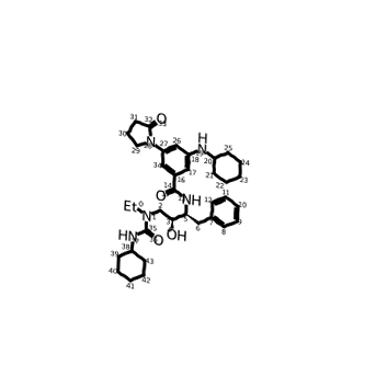 CCN(C[C@H](O)[C@H](Cc1ccccc1)NC(=O)c1cc(NC2CCCCC2)cc(N2CCCC2=O)c1)C(=O)NC1CCCCC1